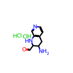 Cl.Cl.NC1Cc2ccncc2NC1C=O